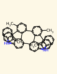 Cc1ccccc1-c1c(C)ccc2c1-c1c(ccc3[nH]c4ccccc4c13)-c1ccc3[nH]c4ccccc4c3c1-c1c-2ccc(C)c1-c1ccccc1C